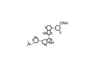 COc1cc(F)cc(-c2ccnc3[nH]c(-c4n[nH]c5ncc(-c6cncc(CN(C)C)c6)cc45)nc23)c1